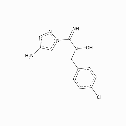 N=C(N(O)Cc1ccc(Cl)cc1)n1cc(N)cn1